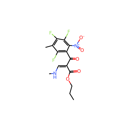 CCCOC(=O)C(=CNC)C(=O)c1c(F)c(C)c(F)c(F)c1[N+](=O)[O-]